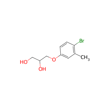 Cc1cc(OCC(O)CO)ccc1Br